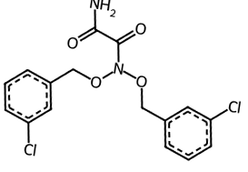 NC(=O)C(=O)N(OCc1cccc(Cl)c1)OCc1cccc(Cl)c1